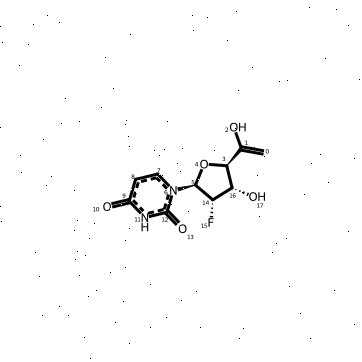 C=C(O)[C@@H]1O[C@H](n2ccc(=O)[nH]c2=O)[C@@H](F)[C@H]1O